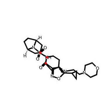 O=C(N[C@H]1C[C@H]2CC[C@@H](C1)N2S(=O)(=O)N1CCC(NCCN2CCOCC2)CC1)c1cc(C2CC2)on1